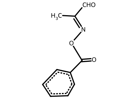 CC(C=O)=NOC(=O)c1ccccc1